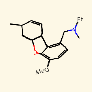 CCN(C)Cc1ccc(OC)c2c1C1C=CC(C)CC1O2